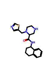 O=C(NC1CCCc2ccccc21)C1CNCCN1Cc1cncs1